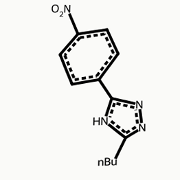 CCCCc1nnc(-c2ccc([N+](=O)[O-])cc2)[nH]1